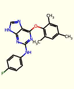 Cc1cc(C)c(Oc2nc(Nc3ccc(F)cc3)nc3[nH]cnc23)c(C)c1